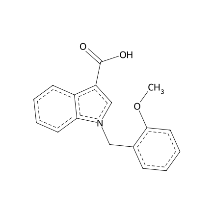 COc1ccccc1Cn1cc(C(=O)O)c2ccccc21